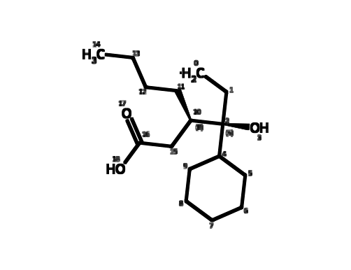 [CH2]C[C@](O)(C1CCCCC1)[C@H](CCCC)CC(=O)O